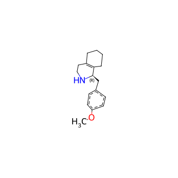 COc1ccc(C[C@H]2NCCC3=C2CCCC3)cc1